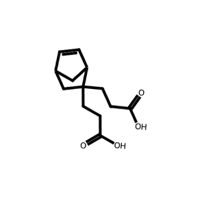 O=C(O)CCC1(CCC(=O)O)CC2C=CC1C2